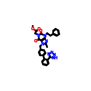 COC(=O)Cn1c(=O)c2c(nc(C)n2Cc2ccc(-c3ccccc3-c3nnn[nH]3)cc2)n(CCc2ccccc2)c1=O